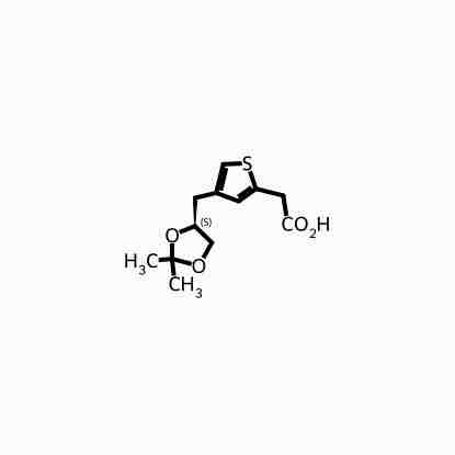 CC1(C)OC[C@H](Cc2csc(CC(=O)O)c2)O1